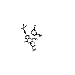 CC(C)(C)C#Cc1cc(N(C(=O)c2ccc(Cl)cc2N)C2CCC(O)CC2)c(C(=O)O)s1